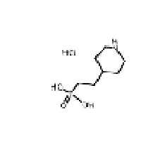 Cl.O=P(O)(O)CCC1CCNCC1